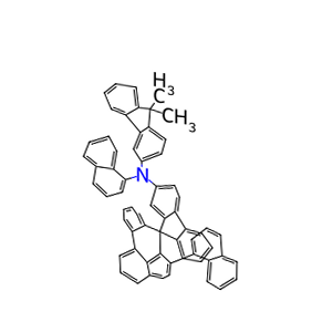 CC1(C)c2ccccc2-c2cc(N(c3ccc4c(c3)C3(c5ccccc5-4)c4ccccc4-c4cccc5ccc(-c6cccc7ccccc67)c3c45)c3cccc4ccccc34)ccc21